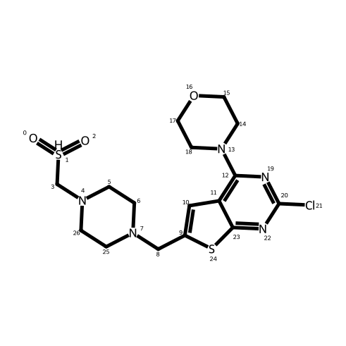 O=[SH](=O)CN1CCN(Cc2cc3c(N4CCOCC4)nc(Cl)nc3s2)CC1